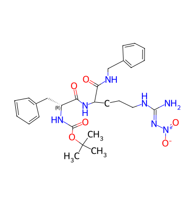 CC(C)(C)OC(=O)N[C@H](Cc1ccccc1)C(=O)NC(CCCNC(N)=N[N+](=O)[O-])C(=O)NCc1ccccc1